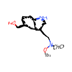 CC(C)(C)ON(C=O)CCc1c[nH]c2ccc(CO)cc12